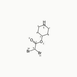 O=C(OC1CCNCC1)C(Br)Br